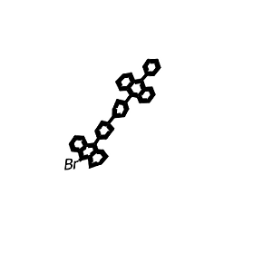 Brc1c2ccccc2c(-c2ccc(-c3ccc(-c4c5ccccc5c(-c5ccccc5)c5ccccc45)cc3)cc2)c2ccccc12